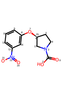 O=C(O)N1CC[C@H](Oc2cccc([N+](=O)[O-])c2)C1